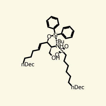 CCCCCCCCCCCCC/C=C/[C@@H](O[Si](c1ccccc1)(c1ccccc1)C(C)(C)C)[C@H](CO)NS(=O)(=O)CCCCCCCCCCCCCCCC